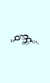 C=C(C)CN(/C=C\CCN1CCC(CC)CC1)C(=O)CCl